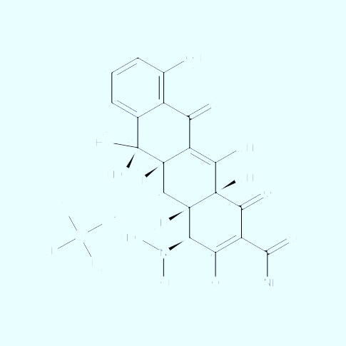 CN(C)[C@@H]1C(O)=C(C(N)=O)C(=O)[C@@]2(O)C(O)=C3C(=O)c4c(O)cccc4[C@@](C)(O)[C@H]3C[C@@H]12.F[B-](F)(F)F